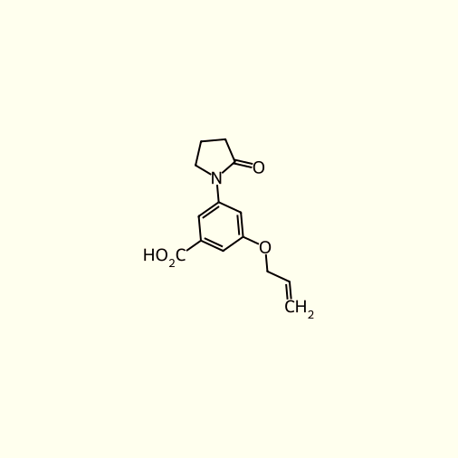 C=CCOc1cc(C(=O)O)cc(N2CCCC2=O)c1